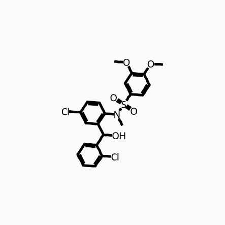 COc1ccc(S(=O)(=O)N(C)c2ccc(Cl)cc2C(O)c2ccccc2Cl)cc1OC